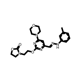 Cc1cccc(N/N=C/c2cc(N3CCOCC3)nc(OCCN3CCOC3=O)n2)c1